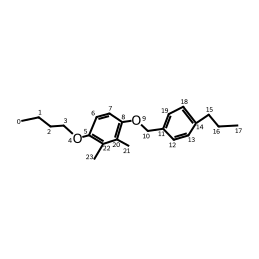 CCCCOc1ccc(OCc2ccc(CCC)cc2)c(C)c1C